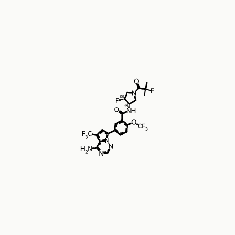 CC(C)(F)C(=O)N1C[C@H](F)[C@H](NC(=O)c2cc(-c3cc(C(F)(F)F)c4c(N)ncnn34)ccc2OC(F)(F)F)C1